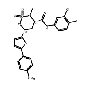 COc1ccc(-c2ccc([C@H]3C[C@@H](C(=O)Nc4ccc(F)c(Cl)c4)N(C)S(=O)(=O)N3)s2)cc1